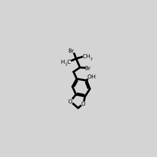 CC(C)(Br)C(Br)Cc1cc2c(cc1O)OCO2